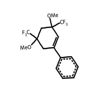 COC1(C(F)(F)F)C=C(c2ccccc2)CC(OC)(C(F)(F)F)C1